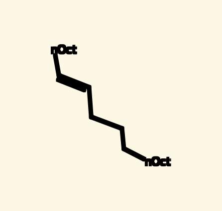 [CH2]CCCCCCCCCCC=CCCCCCCCC